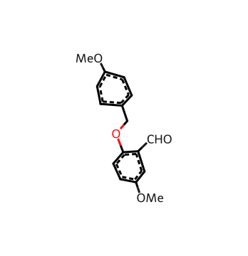 COc1ccc(COc2ccc(OC)cc2C=O)cc1